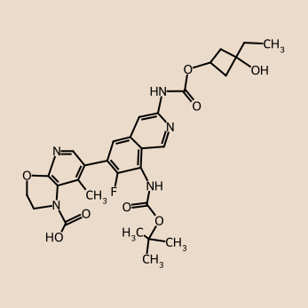 CCC1(O)CC(OC(=O)Nc2cc3cc(-c4cnc5c(c4C)N(C(=O)O)CCO5)c(F)c(NC(=O)OC(C)(C)C)c3cn2)C1